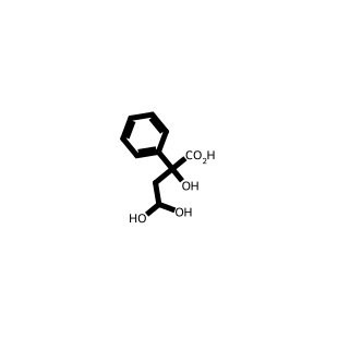 O=C(O)C(O)(CC(O)O)c1ccccc1